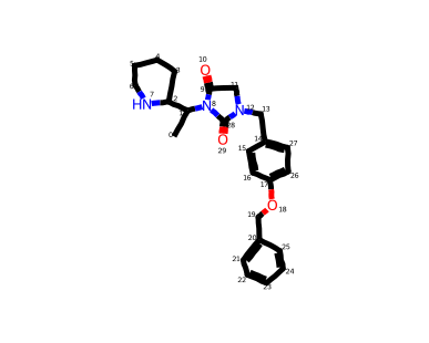 CC(C1CCCCN1)N1C(=O)CN(Cc2ccc(OCc3ccccc3)cc2)C1=O